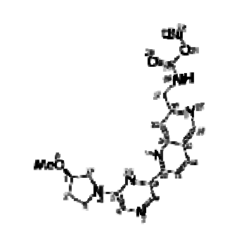 CO[C@@H]1CCN(c2cncc(-c3ccc4cnc(CNC(=O)OC(C)(C)C)cc4n3)n2)C1